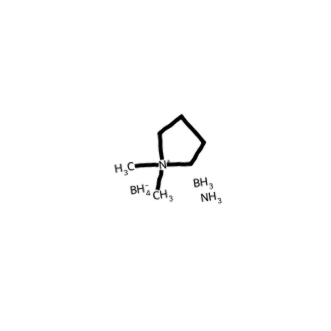 B.C[N+]1(C)CCCC1.N.[BH4-]